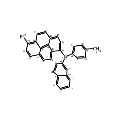 Cc1ccc(N(c2ccc3ccccc3c2)c2ccc3ccc4c(Br)ccc5ccc2c3c54)cc1